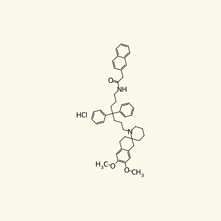 COc1cc2c(cc1OC)CC1(CCCCN1CCCC(CCCNC(=O)Cc1ccc3ccccc3c1)(c1ccccc1)c1ccccc1)CC2.Cl